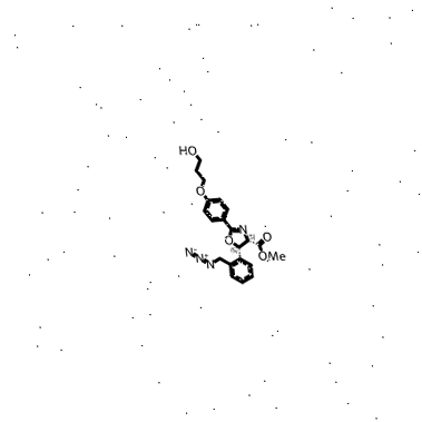 COC(=O)[C@H]1N=C(c2ccc(OCCCO)cc2)O[C@H]1c1ccccc1CN=[N+]=[N-]